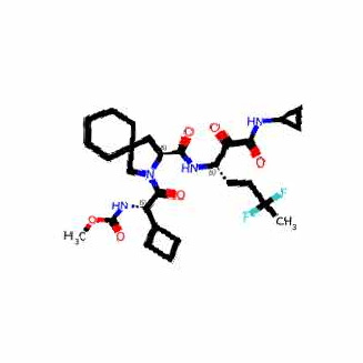 COC(=O)N[C@H](C(=O)N1CC2(CCCCC2)C[C@H]1C(=O)N[C@@H](CCC(C)(F)F)C(=O)C(=O)NC1CC1)C1CCC1